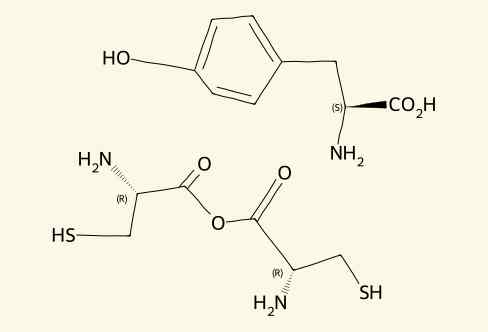 N[C@@H](CS)C(=O)OC(=O)[C@@H](N)CS.N[C@@H](Cc1ccc(O)cc1)C(=O)O